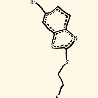 FCCSc1nc2ccc(Br)cc2s1